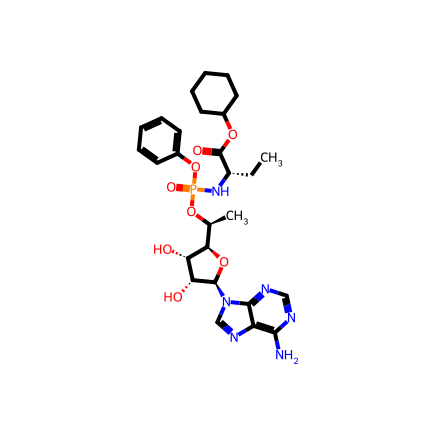 CC[C@H](NP(=O)(Oc1ccccc1)O[C@@H](C)[C@H]1O[C@@H](n2cnc3c(N)ncnc32)[C@H](O)[C@@H]1O)C(=O)OC1CCCCC1